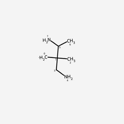 [CH2]C(C)(CN)C(C)N